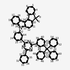 CC1(C)c2ccccc2-c2c1ccc1c2c2ccccc2n1-c1cccc(-c2nc(-c3ccccc3)nc(-c3cccc(C(c4ccccc4)(c4ccccc4)c4ccccc4)c3)n2)c1